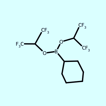 FC(F)(F)C(OB(OC(C(F)(F)F)C(F)(F)F)C1CCCCC1)C(F)(F)F